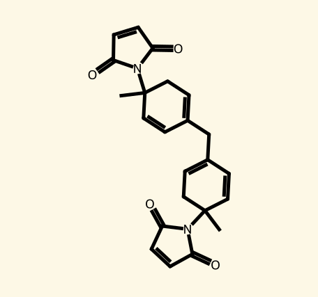 CC1(N2C(=O)C=CC2=O)C=CC(CC2=CCC(C)(N3C(=O)C=CC3=O)C=C2)=CC1